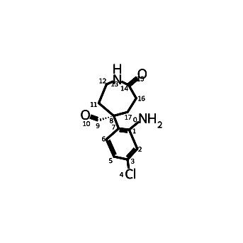 Nc1cc(Cl)ccc1[C@@]1(C=O)CCNC(=O)CC1